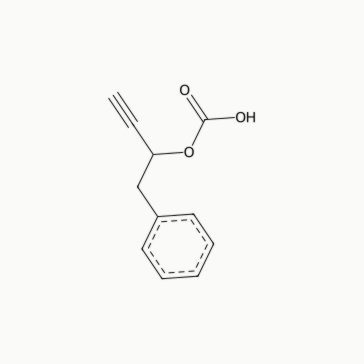 C#CC(Cc1ccccc1)OC(=O)O